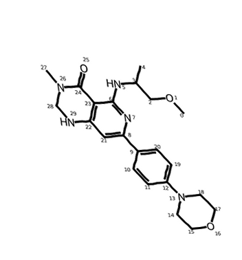 COCC(C)Nc1nc(-c2ccc(N3CCOCC3)cc2)cc2c1C(=O)N(C)CN2